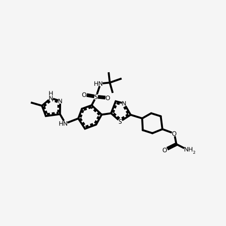 Cc1cc(Nc2ccc(-c3cnc(C4CCC(OC(N)=O)CC4)s3)c(S(=O)(=O)NC(C)(C)C)c2)n[nH]1